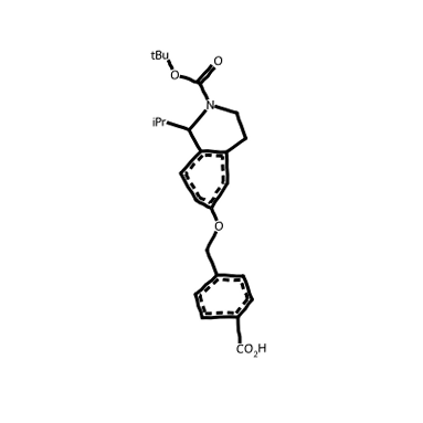 CC(C)C1c2ccc(OCc3ccc(C(=O)O)cc3)cc2CCN1C(=O)OC(C)(C)C